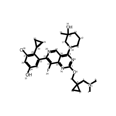 CN(C)CC1(COc2nc(N3CCCC(C)(O)C3)c3cnc(-c4cc(O)cc(Cl)c4C4CC4)c(F)c3n2)CC1